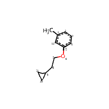 Cc1cccc(OCCC2CC2)c1